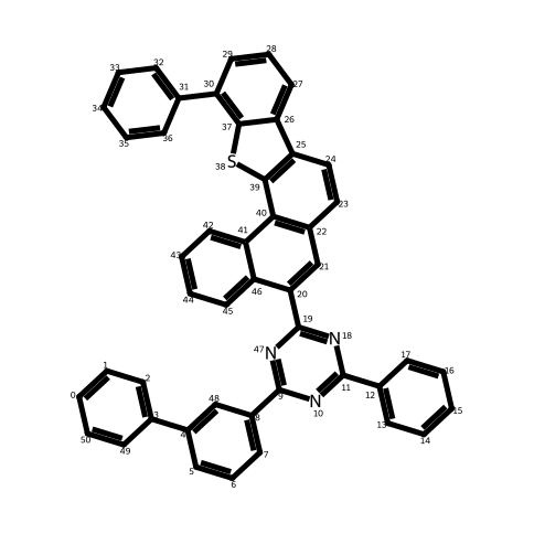 c1ccc(-c2cccc(-c3nc(-c4ccccc4)nc(-c4cc5ccc6c7cccc(-c8ccccc8)c7sc6c5c5ccccc45)n3)c2)cc1